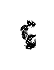 c1ccc(-c2cccc(-n3c4ccccc4c4c5c6ccc7ccccc7c6n(-c6nc(-c7ccc8c(c7)oc7ccccc78)c7ccccc7n6)c5ccc43)c2)cc1